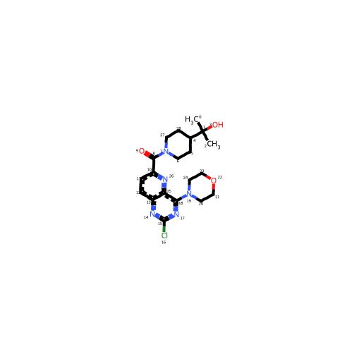 CC(C)(O)C1CCN(C(=O)c2ccc3nc(Cl)nc(N4CCOCC4)c3n2)CC1